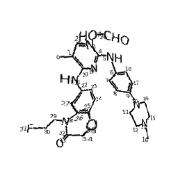 Cc1cnc(Nc2ccc(N3CCN(C)CC3)cc2)nc1Nc1ccc2c(c1)N(CCF)C(=O)CO2.O=CO